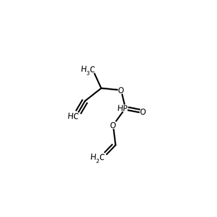 C#CC(C)O[PH](=O)OC=C